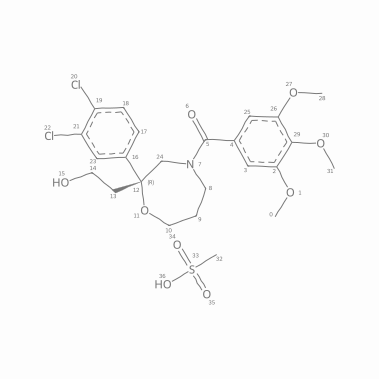 COc1cc(C(=O)N2CCCO[C@](CCO)(c3ccc(Cl)c(Cl)c3)C2)cc(OC)c1OC.CS(=O)(=O)O